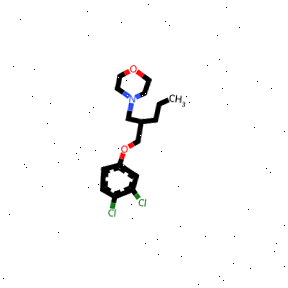 CCCC(COc1ccc(Cl)c(Cl)c1)CN1CCOCC1